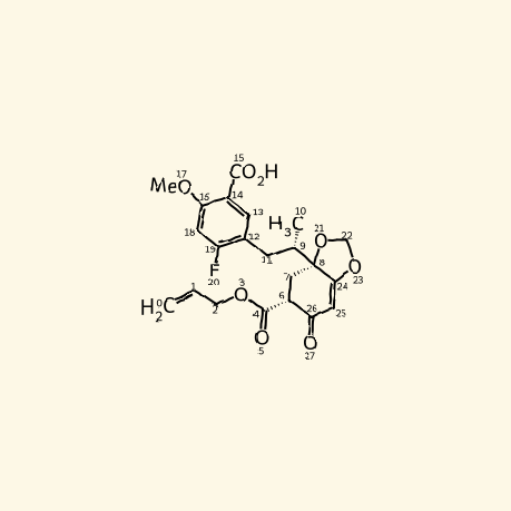 C=CCOC(=O)[C@@H]1C[C@]2([C@@H](C)Cc3cc(C(=O)O)c(OC)cc3F)OCOC2=CC1=O